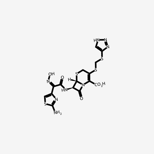 Nc1nc(/C(=N/O)C(=O)N[C@@H]2C(=O)N3C(C(=O)O)=C(SCSc4c[nH]nn4)CS[C@@H]23)cs1